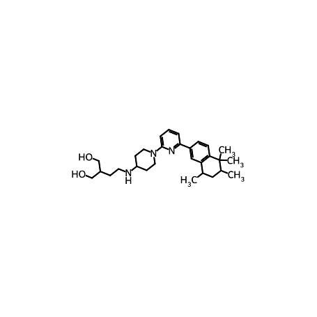 CC1CC(C)C(C)(C)c2ccc(-c3cccc(N4CCC(NCCC(CO)CO)CC4)n3)cc21